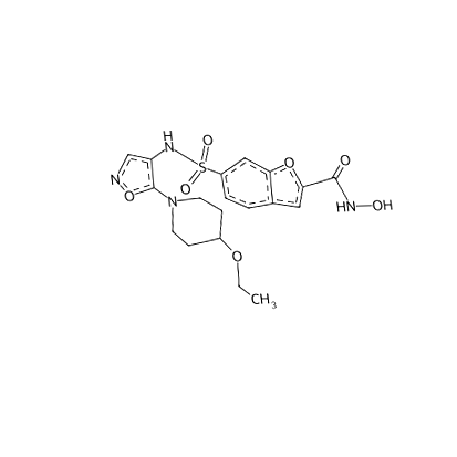 CCOC1CCN(c2oncc2NS(=O)(=O)c2ccc3cc(C(=O)NO)oc3c2)CC1